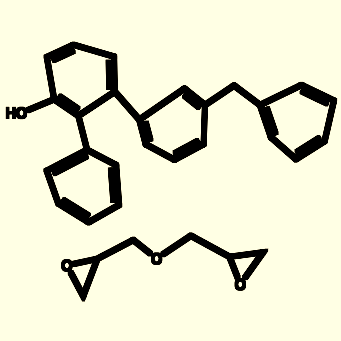 C(OCC1CO1)C1CO1.Oc1cccc(-c2cccc(Cc3ccccc3)c2)c1-c1ccccc1